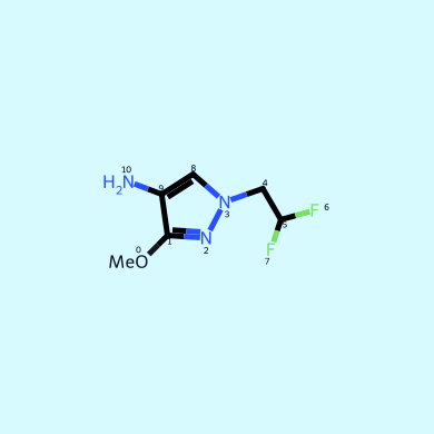 COc1nn(CC(F)F)cc1N